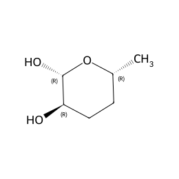 C[C@@H]1CC[C@@H](O)[C@H](O)O1